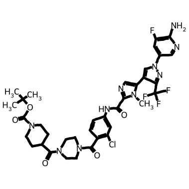 Cn1c(-c2cn(-c3cnc(N)c(F)c3)nc2C(F)(F)F)cnc1C(=O)Nc1ccc(C(=O)N2CCN(C(=O)C3CCN(C(=O)OC(C)(C)C)CC3)CC2)c(Cl)c1